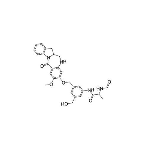 COc1cc2c(cc1OCc1cc(CO)cc(NC(=O)C(C)NC=O)c1)NCC1Cc3ccccc3N1C2=O